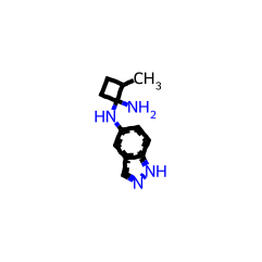 CC1CCC1(N)Nc1ccc2[nH]ncc2c1